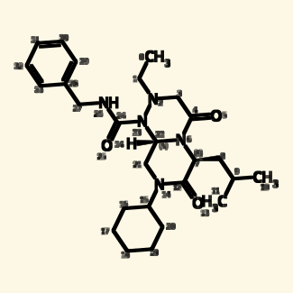 CCN1CC(=O)N2[C@@H](CC(C)C)C(=O)N(C3CCCCC3)C[C@@H]2N1C(=O)NCc1ccccc1